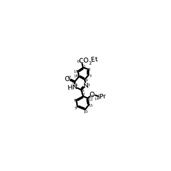 CCOC(=O)c1ccc2nc(-c3ccccc3OC(C)C)[nH]c(=O)c2c1